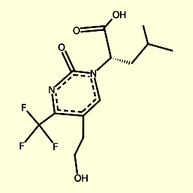 CC(C)C[C@@H](C(=O)O)n1cc(CCO)c(C(F)(F)F)nc1=O